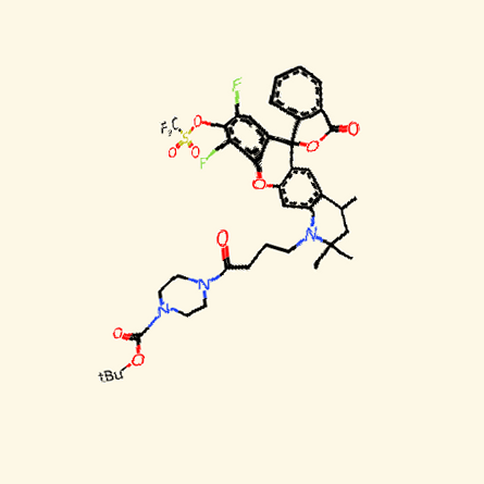 CC1CC(C)(C)N(CCCC(=O)N2CCN(C(=O)OC(C)(C)C)CC2)c2cc3c(cc21)C1(OC(=O)c2ccccc21)c1cc(F)c(OS(=O)(=O)C(F)(F)F)c(F)c1O3